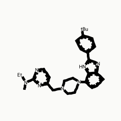 CCN(C)c1nccc(CN2CCN(c3cccc4nc(-c5ccc(C(C)(C)C)cc5)[nH]c34)CC2)n1